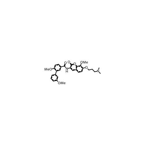 COc1cccc(-c2cc(C(=O)Nc3cc4ccc(OCCCN(C)C)c(OC)c4oc3=O)ccc2OC)c1